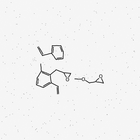 C=Cc1cccc(C)c1CC1CO1.C=Cc1ccccc1.COCC1CO1